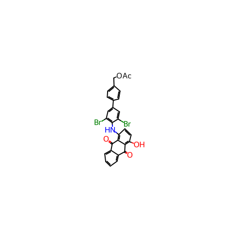 CC(=O)OCc1ccc(-c2cc(Br)c(Nc3ccc(O)c4c3C(=O)c3ccccc3C4=O)c(Br)c2)cc1